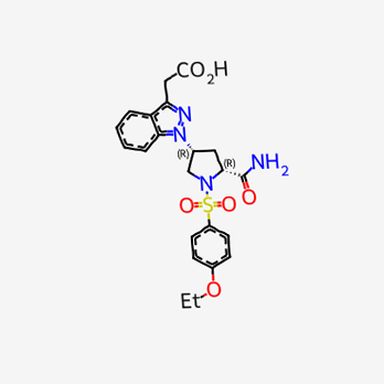 CCOc1ccc(S(=O)(=O)N2C[C@H](n3nc(CC(=O)O)c4ccccc43)C[C@@H]2C(N)=O)cc1